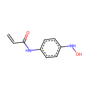 C=CC(=O)Nc1ccc(NO)cc1